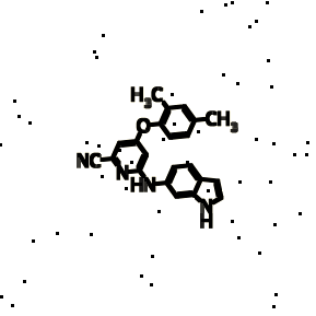 Cc1ccc(Oc2cc(C#N)nc(Nc3ccc4cc[nH]c4c3)c2)c(C)c1